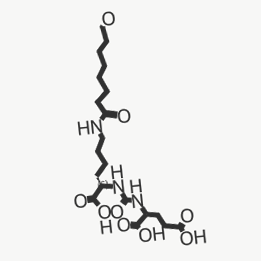 O=CCCCCCCC(=O)NCCCC[C@H](NC(=O)NC(CCC(=O)O)C(=O)O)C(=O)O